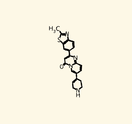 Cc1nc2ccc(-c3cc(=O)n4cc(C5=CCNCC5)ccc4n3)cc2s1